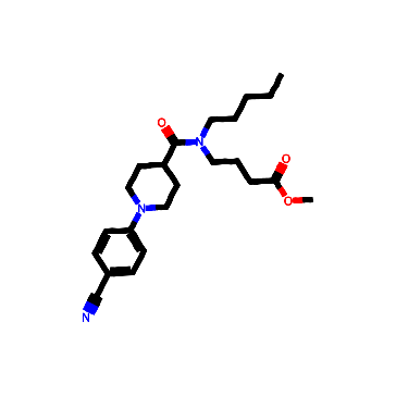 CCCCCN(CCCC(=O)OC)C(=O)C1CCN(c2ccc(C#N)cc2)CC1